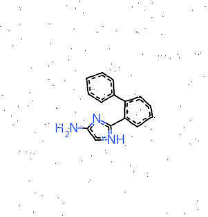 Nc1c[nH]c(-c2ccccc2-c2ccccc2)n1